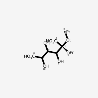 CCCO[C@@](CCC)(C(=O)O)C(O)C(O)C(O)C(=O)O